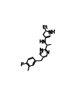 CCC1CC(NC(C)c2ncc(Cc3ccc(F)c(C)c3)cn2)=CN1